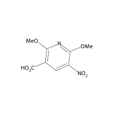 COc1nc(OC)c([N+](=O)[O-])cc1C(=O)O